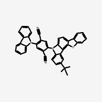 CC(C)(C)c1ccc2c(c1)c1c3oc4ccccc4c3ccc1n2-c1cc(C#N)c(-n2c3ccccc3c3ccccc32)cc1C#N